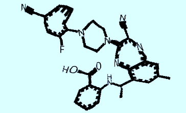 Cc1cc([C@@H](C)Nc2ccccc2C(=O)O)c2nc(N3CCN(c4ccc(C#N)cc4F)CC3)c(C#N)nc2c1